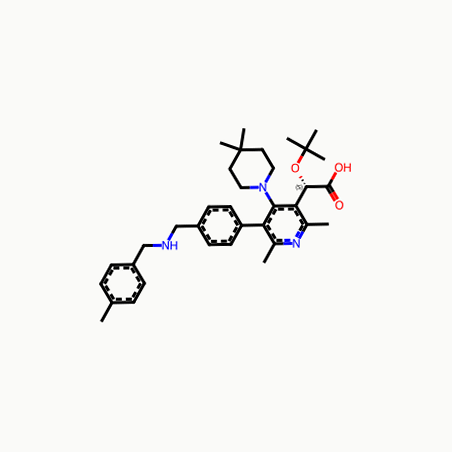 Cc1ccc(CNCc2ccc(-c3c(C)nc(C)c([C@H](OC(C)(C)C)C(=O)O)c3N3CCC(C)(C)CC3)cc2)cc1